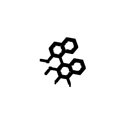 COc1ccc2ccccc2c1-c1c(OC)c(I)c(I)c2ccccc12